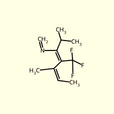 C=N/C(=C(\C(C)=C/C)C(F)(F)F)C(C)C